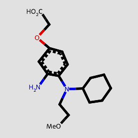 COCCN(c1ccc(OCC(=O)O)cc1N)C1CCCCC1